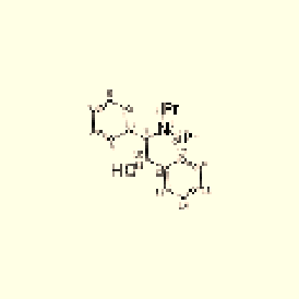 CC(C)N(C(C)C)[C@H](c1ccccc1)[C@@H](O)c1ccccc1